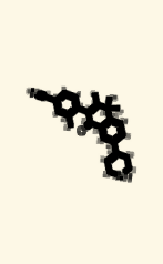 CC1=C(c2ccc(C#N)cc2C)C(=O)c2cc(C3=CCNCC3)ccc2C1(C)C